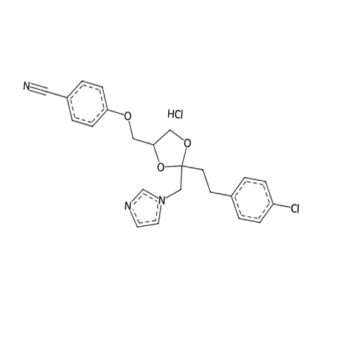 Cl.N#Cc1ccc(OCC2COC(CCc3ccc(Cl)cc3)(Cn3ccnc3)O2)cc1